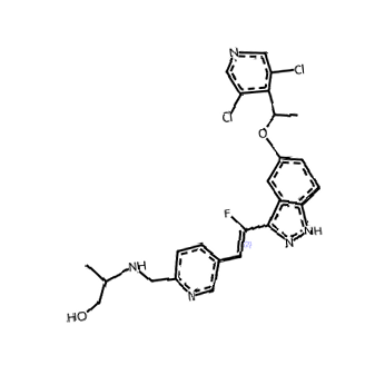 CC(CO)NCc1ccc(/C=C(\F)c2n[nH]c3ccc(OC(C)c4c(Cl)cncc4Cl)cc23)cn1